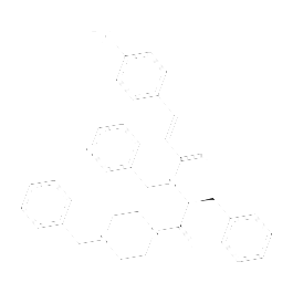 O=C([C@H](Cc1ccccc1)N(Cc1cccnc1)C(=O)/C=C/c1ccc(C(F)(F)F)cc1)N1CCN(Cc2ccccc2)CC1